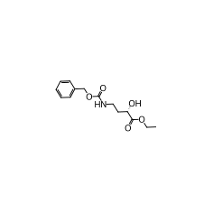 CCOC(=O)[C@@H](O)CCNC(=O)OCc1ccccc1